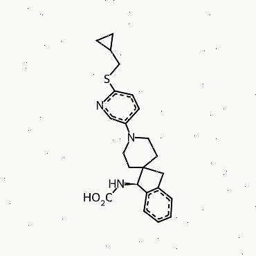 O=C(O)N[C@@H]1c2ccccc2CC12CCN(c1ccc(SCC3CC3)nc1)CC2